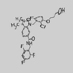 C[C@H]1c2ccc(C(=O)NCc3c(F)cc(F)cc3F)cc2N(Cc2c(F)ccc(OCCCO)c2Cl)C(=O)N1C